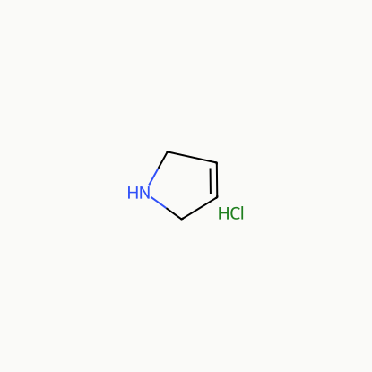 C1=CCNC1.Cl